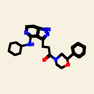 O=C(CCc1n[nH]c2ccnc(NC3CCCCC3)c12)N1CCOC(c2ccccc2)C1